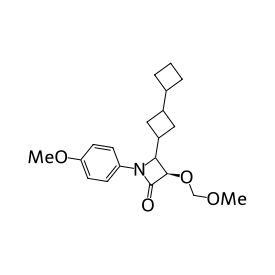 COCO[C@H]1C(=O)N(c2ccc(OC)cc2)C1C1CC(C2CCC2)C1